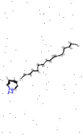 C1=CC=CNC=C1.CCCCCCCCCCCCCCC